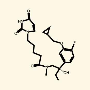 CC[C@@](O)(CN(C)C(=O)CCCCn1ccc(=O)[nH]c1=O)c1ccc(F)c(OCC2CC2)c1